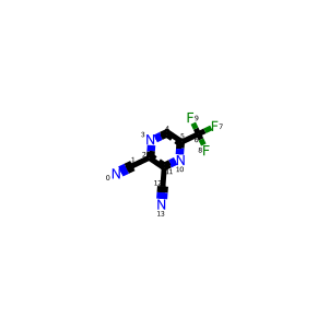 N#Cc1ncc(C(F)(F)F)nc1C#N